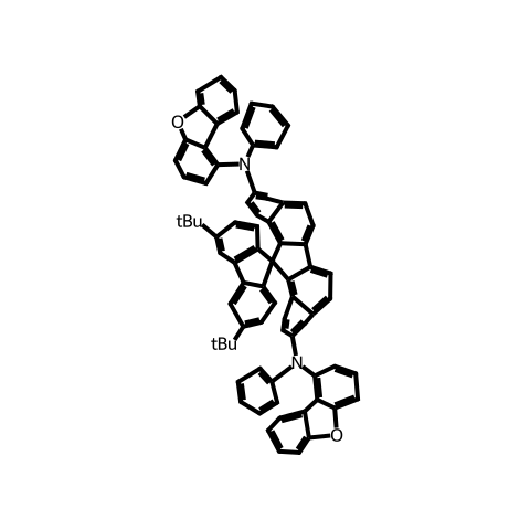 CC(C)(C)c1ccc2c(c1)-c1cc(C(C)(C)C)ccc1C21c2c(ccc3cc(N(c4ccccc4)c4cccc5oc6ccccc6c45)ccc23)-c2ccc3cc(N(c4ccccc4)c4cccc5oc6ccccc6c45)ccc3c21